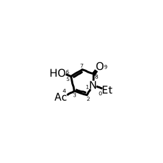 CCn1cc(C(C)=O)c(O)cc1=O